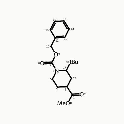 COC(=O)C1CCN(C(=O)OCc2ccccc2)C(C(C)(C)C)C1